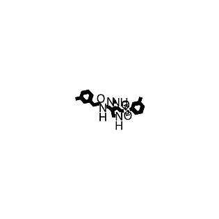 Cc1cccc(CC(=O)Nc2n[nH]c3c2CNC3S(=O)(=O)c2cccc(C)c2)c1